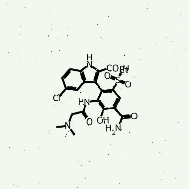 CCS(=O)(=O)c1cc(C(N)=O)c(O)c(NC(=O)CN(C)C)c1-c1c(C(=O)O)[nH]c2ccc(Cl)cc12